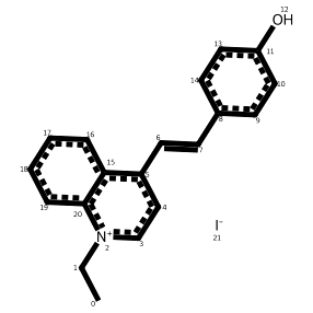 CC[n+]1ccc(C=Cc2ccc(O)cc2)c2ccccc21.[I-]